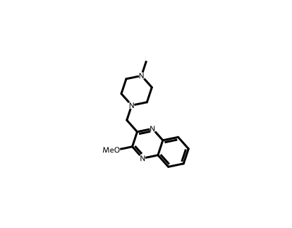 COc1nc2ccccc2nc1CN1CCN(C)CC1